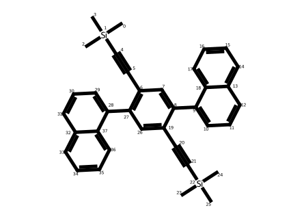 C[Si](C)(C)C#Cc1cc(-c2cccc3ccccc23)c(C#C[Si](C)(C)C)cc1-c1cccc2ccccc12